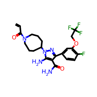 C=CC(=O)N1CCCC(n2nc(-c3ccc(F)c(OCC(F)(F)F)c3)c(C(N)=O)c2N)CCC1